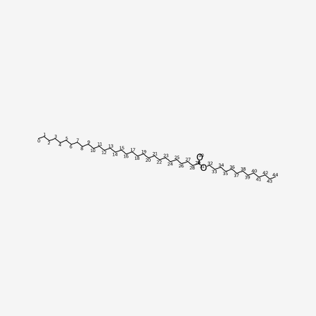 CCCCCCCCCCCCCCCCCCCCCCCCCCCCCC(=O)OCCCCCCCCCCCCC